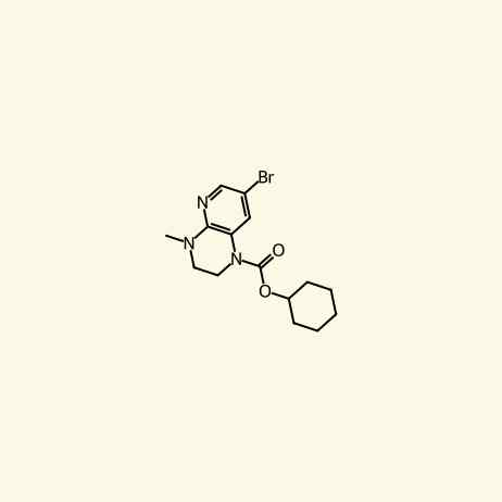 CN1CCN(C(=O)OC2CCCCC2)c2cc(Br)cnc21